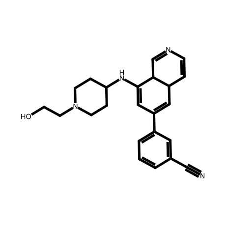 N#Cc1cccc(C2=CC3C=CN=CC3C(NC3CCN(CCO)CC3)=C2)c1